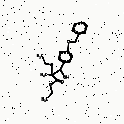 CCOC(=O)C(C)(OCC)C(O)c1ccc(OCc2ccccc2)cc1